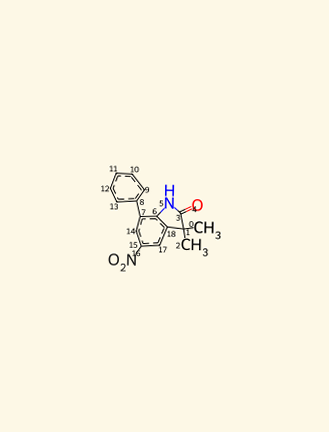 CC1(C)C(=O)Nc2c(-c3ccccc3)cc([N+](=O)[O-])cc21